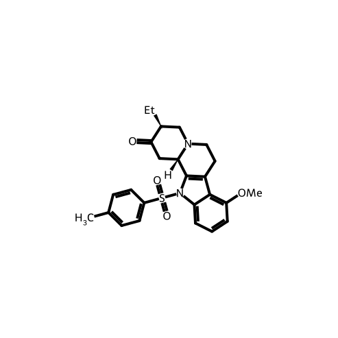 CC[C@H]1CN2CCc3c(n(S(=O)(=O)c4ccc(C)cc4)c4cccc(OC)c34)[C@@H]2CC1=O